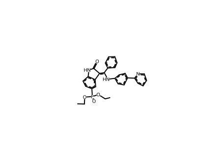 CCOP(=O)(OCC)c1ccc2c(c1)C(=C(Nc1ccc(-c3ccccn3)cc1)c1ccccc1)C(=O)N2